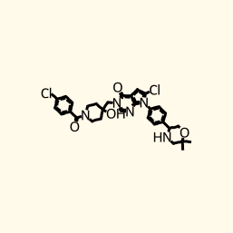 CC1(C)CNC(c2ccc(-n3c(Cl)cc4c(=O)n(CC5(O)CCN(C(=O)c6ccc(Cl)cc6)CC5)cnc43)cc2)CO1